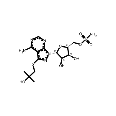 CC(C)(O)CSc1nn([C@@H]2O[C@H](COS(N)(=O)=O)[C@@H](O)[C@H]2O)c2ncnc(N)c12